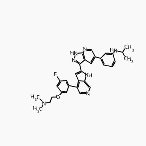 CC(C)Nc1cccc(-c2cnc3[nH]nc(-c4cc5c(-c6cc(F)cc(OCCN(C)C)c6)cncc5[nH]4)c3c2)c1